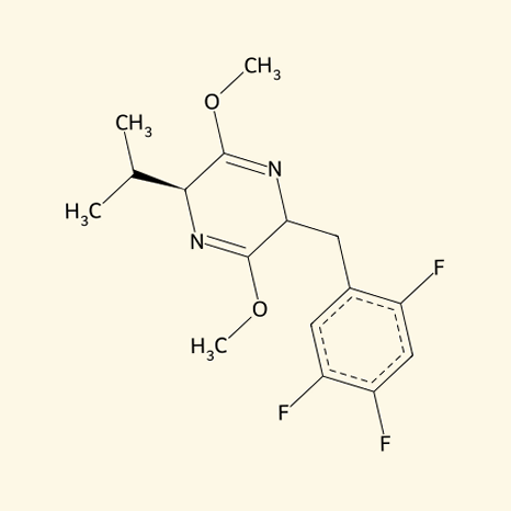 COC1=N[C@@H](C(C)C)C(OC)=NC1Cc1cc(F)c(F)cc1F